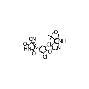 CC1(C)COCc2[nH]c3ncc(Oc4c(Cl)cc(-n5nc(C#N)c(=O)[nH]c5=O)cc4Cl)cc3c21